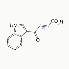 O=C(O)/C=C/C(=O)c1c[nH]c2ccccc12